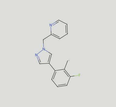 [CH2]c1c(F)cccc1-c1cnn(Cc2ccccn2)c1